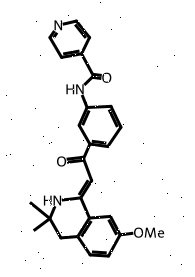 COc1ccc2c(c1)C(=CC(=O)c1cccc(NC(=O)c3ccncc3)c1)NC(C)(C)C2